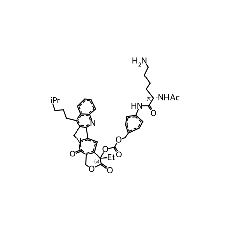 CC[C@@]1(OC(=O)OCc2ccc(NC(=O)[C@H](CCCCN)NC(C)=O)cc2)C(=O)OCc2c1cc1n(c2=O)Cc2c-1nc1ccccc1c2CCCC(C)C